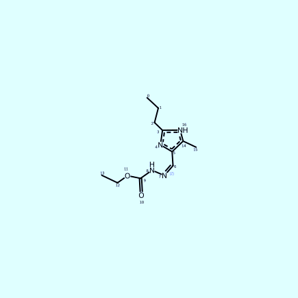 CCCc1nc(/C=N\NC(=O)OCC)c(C)[nH]1